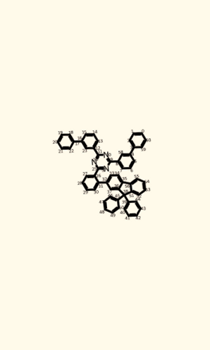 c1ccc(-c2cccc(-c3nc(-c4cccc(-c5ccccc5)c4)nc(-c4ccccc4-c4ccc5c(c4)C(c4ccccc4)(c4ccccc4)c4ccccc4-5)n3)c2)cc1